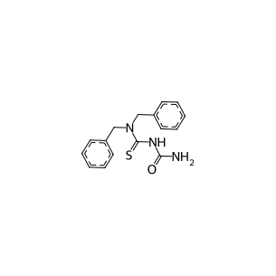 NC(=O)NC(=S)N(Cc1ccccc1)Cc1ccccc1